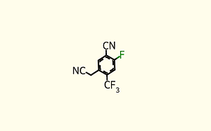 N#CCc1cc(C#N)c(F)cc1C(F)(F)F